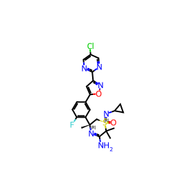 CC1(C)C(N)=N[C@](C)(c2cc(-c3cc(-c4ncc(Cl)cn4)no3)ccc2F)C[S@]1(=O)=NC1CC1